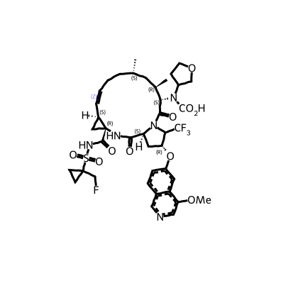 COc1cncc2ccc(O[C@@H]3C[C@H]4C(=O)N[C@]5(C(=O)NS(=O)(=O)C6(CF)CC6)C[C@H]5/C=C\CC[C@H](C)C[C@@H](C)[C@H](N(C(=O)O)C5CCOC5)C(=O)N4C3C(F)(F)F)cc12